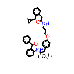 O=C(Cc1ccccc1CC1CC1)NCCCOc1ccc(CC(Nc2ccccc2C(=O)c2ccccc2)C(=O)O)cc1